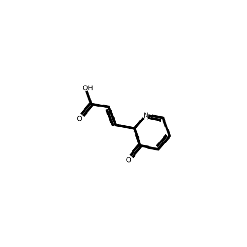 O=C(O)C=CC1N=CC=CC1=O